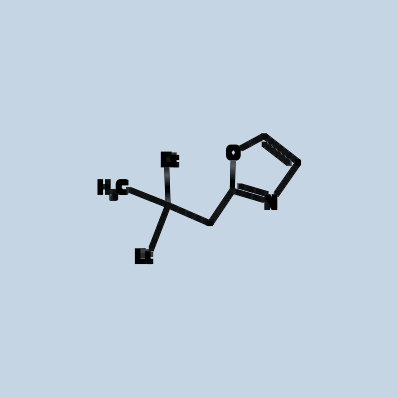 CCC(C)(CC)Cc1ncco1